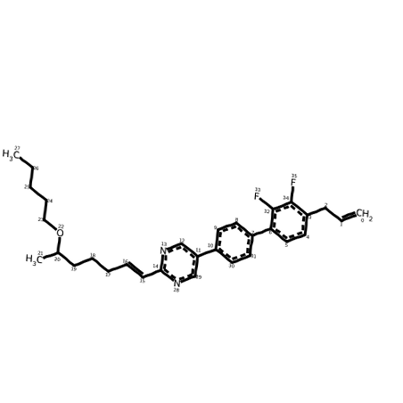 C=CCc1ccc(-c2ccc(-c3cnc(C=CCCCC(C)OCCCCC)nc3)cc2)c(F)c1F